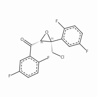 O=C(c1cc(F)ccc1F)[C@@H]1O[C@@]1(CCl)c1cc(F)ccc1F